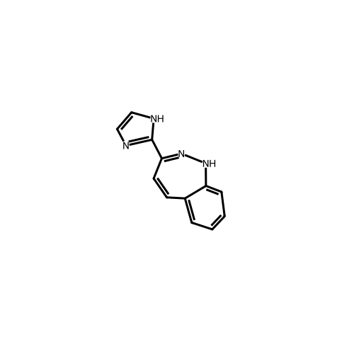 C1=Cc2ccccc2NN=C1c1ncc[nH]1